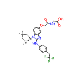 C[C@H]1C[C@@H](n2c(Nc3ccc(CC(F)(F)F)cc3)nc3cc(OCC(=O)NCC(=O)O)ccc32)CC(C)(C)C1